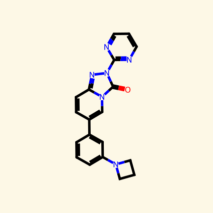 O=c1n(-c2ncccn2)nc2ccc(-c3cccc(N4CCC4)c3)cn12